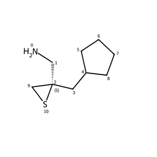 NC[C@@]1(CC2CCCC2)CS1